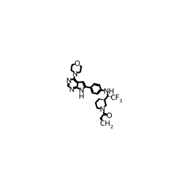 C=CC(=O)N1CCC[C@@H]([C@H](Nc2ccc(-c3cc4c(N5CCOCC5)ncnc4[nH]3)cc2)C(F)(F)F)C1